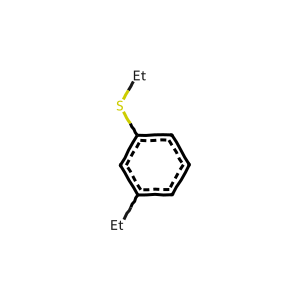 CCSc1cccc(CC)c1